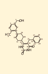 Cc1ccc(CO)cc1C1=CCC(c2[nH]c(=O)[nH]c(=O)c2Cc2ccccc2)CC1